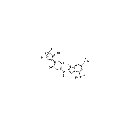 Cn1c(C(=O)N2CCN([C@H]3C[C@H]4C[C@@H]4[C@H]3O)C(=O)C2)nc2c(C(F)(F)F)cc(C3CC3)cc21